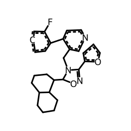 Fc1ccccc1-c1ccncc1CN1C(c2ccco2)=NOC1C1CCCC2CCCCC21